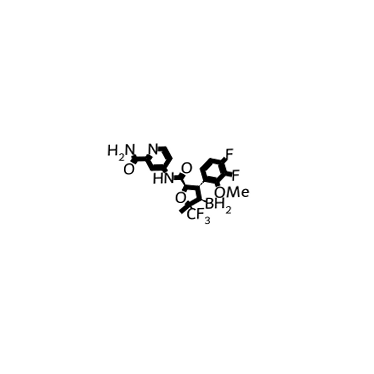 B[C@H]1[C@@H](c2ccc(F)c(F)c2OC)[C@H](C(=O)Nc2ccnc(C(N)=O)c2)O[C@@]1(C)C(F)(F)F